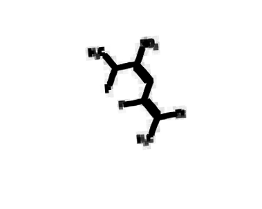 CC/C(C)=C(F)\C=C(/C(C)F)[N+](=O)[O-]